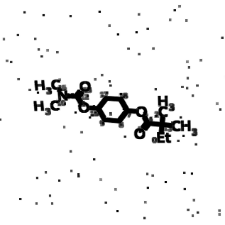 CCC(C)(C)C(=O)OC1CCC(OC(=O)N(C)C)CC1